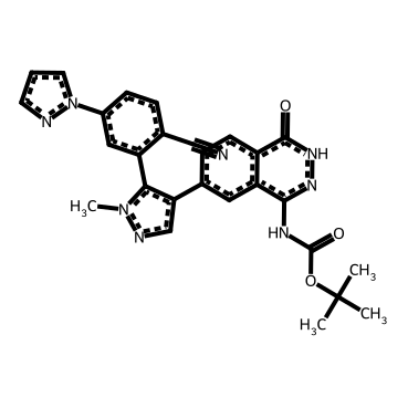 Cn1ncc(-c2ccc3c(=O)[nH]nc(NC(=O)OC(C)(C)C)c3c2)c1-c1cc(-n2cccn2)ccc1C#N